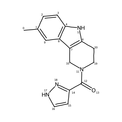 Cc1ccc2[nH]c3c(c2c1)CN(C(=O)c1cc[nH]n1)CC3